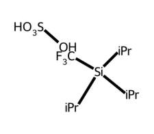 CC(C)[Si](C(C)C)(C(C)C)C(F)(F)F.O=S(=O)(O)O